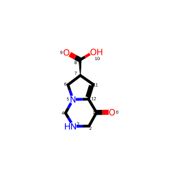 O=C1CNCN2C[C@@H](C(=O)O)C=C12